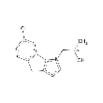 C[C@H](O)Cn1ccc2c1-c1cc(Cl)ccc1C2